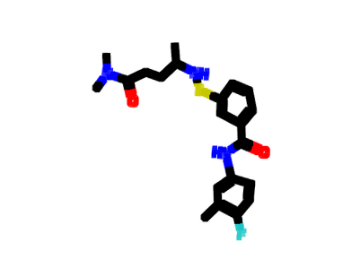 Cc1cc(NC(=O)c2cccc(SNC(C)CCC(=O)N(C)C)c2)ccc1F